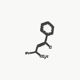 CC(C)C(C=C(Cl)c1ccccc1)C(=O)O